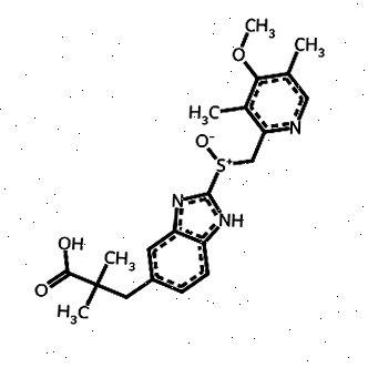 COc1c(C)cnc(C[S+]([O-])c2nc3cc(CC(C)(C)C(=O)O)ccc3[nH]2)c1C